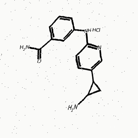 Cl.NC(=O)c1cccc(Nc2ccc(C3CC3N)cn2)c1